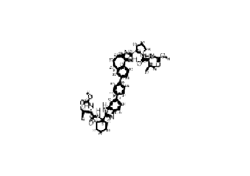 COC(=O)N[C@H](C(=O)NC1(c2nc3ccc(-c4ccc(-c5ccc6c(c5)CCCc5nc([C@@H]7CCCN7C(=O)[C@@H](NC(=O)OC)C(C)C)[nH]c5-6)cc4)cc3[nH]2)CCCCC1)C(C)C